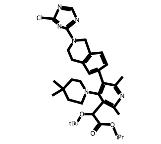 Cc1nc(C)c(C(OC(C)(C)C)C(=O)OC(C)C)c(N2CCC(C)(C)CC2)c1-c1ccc2c(c1)CCN(c1ncnc(Cl)n1)C2